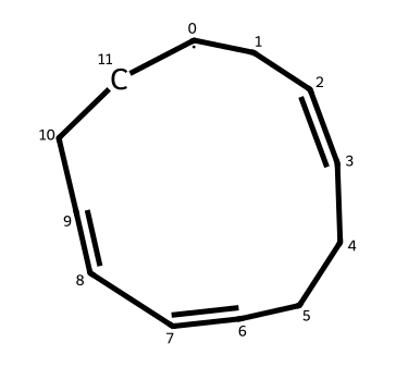 [CH]1CC=CCCC=CC=CCC1